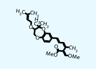 CO\C=C(C(=O)OC)/C(C)=C\C=C\c1ccc2c(c1)OC(C)(C)C(OCC=C(C)C)CO2